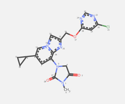 CN1C(=O)CN(c2cc(C3CC3)cn3cc(COc4cc(Cl)ncn4)nc23)C1=O